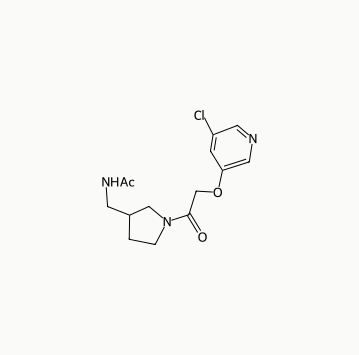 CC(=O)NCC1CCN(C(=O)COc2cncc(Cl)c2)C1